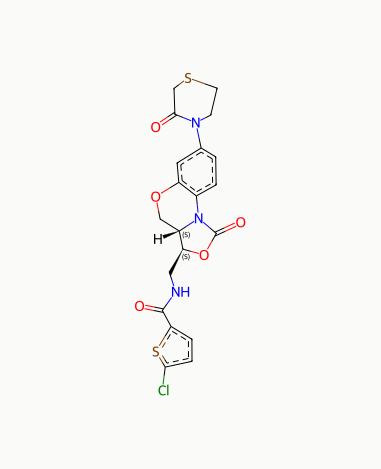 O=C(NC[C@@H]1OC(=O)N2c3ccc(N4CCSCC4=O)cc3OC[C@@H]12)c1ccc(Cl)s1